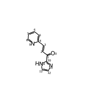 O=C(C=Cc1ccccn1)c1ncc[nH]1